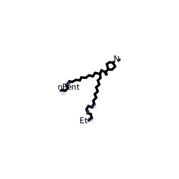 C=C(CC(CCCCCCCC/C=C\C/C=C\C/C=C\CC)CCCCCCCC/C=C\C/C=C\CCCCC)C1CCC(N(C)C)CC1